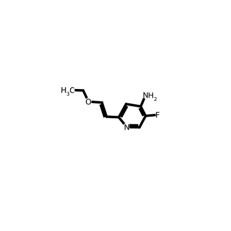 CCOC=Cc1cc(N)c(F)cn1